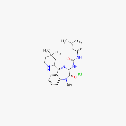 CCCN1C(=O)C(NC(=O)Nc2cccc(C)c2)N=C(C2CC(C)(C)CCN2)c2ccccc21.Cl